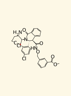 COC(=O)c1cccc(CONC(=O)[C@@H]2c3ccccc3C(=O)N([C@H]3CCCC[C@@H]3N)[C@H]2c2ccc(Cl)cc2Cl)c1